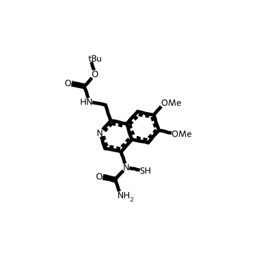 COc1cc2c(N(S)C(N)=O)cnc(CNC(=O)OC(C)(C)C)c2cc1OC